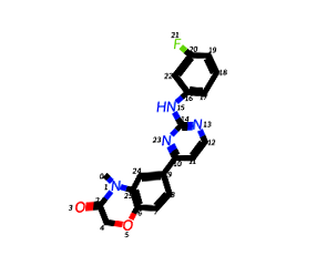 CN1C(=O)COc2ccc(-c3ccnc(Nc4cccc(F)c4)n3)cc21